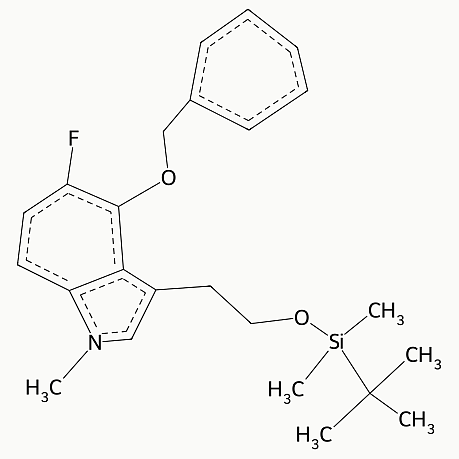 Cn1cc(CCO[Si](C)(C)C(C)(C)C)c2c(OCc3ccccc3)c(F)ccc21